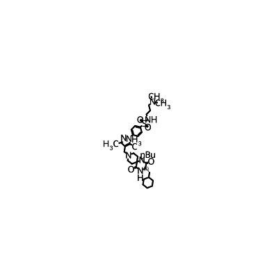 CCCCN1C(=O)[C@H](CC2CCCCC2)NC(=O)C12CCN(Cc1c(C)nn(-c3ccc(S(=O)(=O)NCCCN(C)C)cc3)c1C)CC2